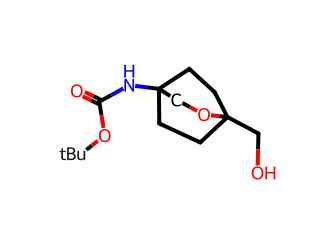 CC(C)(C)OC(=O)NC12CCC(CO)(CC1)OC2